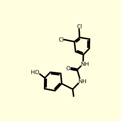 CC(NC(=O)Nc1ccc(Cl)c(Cl)c1)c1ccc(O)cc1